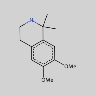 COc1cc2c(cc1OC)C(C)(C)[N]CC2